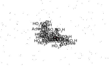 CO[C@H]1O[C@H](COS(=O)(=O)O)[C@@H](O[C@@H]2O[C@@H](C(=O)O)[C@@H](O[C@H]3O[C@H](COS(=O)(=O)O)[C@@H](OC4O[C@@H](C(=O)O)[C@@H](O[C@H]5O[C@H](COS(=O)(=O)O)[C@@H](O[C@@H]6O[C@H](C(=O)O)[C@@H](O[C@H]7O[C@H](COS(=O)(=O)O)[C@@H](O[C@@H]8OC(C(=O)O)=C[C@H](O)[C@H]8O)[C@H](O)[C@H]7NC(C)=O)[C@H](O)[C@H]6O)[C@H](OS(=O)(=O)O)[C@H]5NS(=O)(=O)O)[C@H](O)[C@H]4OS(=O)(=O)O)[C@H](O)[C@H]3NS(=O)(=O)O)[C@H](O)[C@H]2OS(=O)(=O)O)[C@H](O)[C@H]1NS(=O)(=O)O